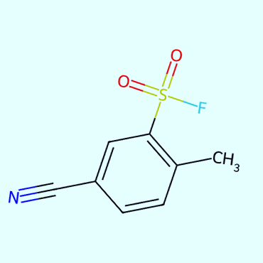 Cc1ccc(C#N)cc1S(=O)(=O)F